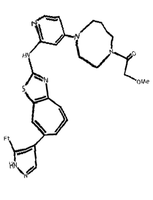 CCc1[nH]ncc1C1=Cc2sc(Nc3cc(N4CCCN(C(=O)COC)CC4)ccn3)nc2C=C=C1